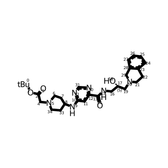 CC(C)(C)OC(=O)CN1CCC(Nc2cc(C(=O)NC[C@H](O)CN3CCc4ccccc4C3)ncn2)CC1